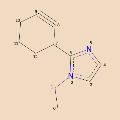 CCn1ccnc1C1C#CCCC1